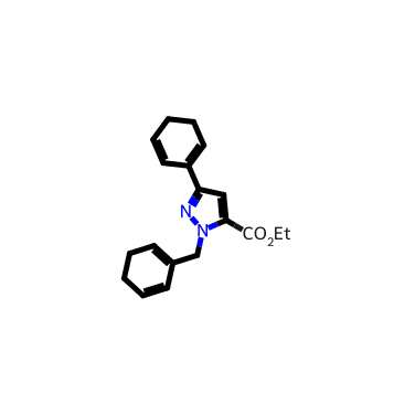 CCOC(=O)c1cc(C2=CCCC=C2)nn1CC1=CCCC=C1